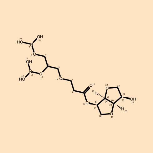 O=C(CCOCC(CON(O)O)ON(O)O)O[C@@H]1CO[C@H]2[C@@H]1OC[C@H]2O